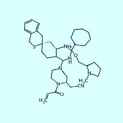 C=CC(=O)N1CCN(C2NC(OCC3CCCN3C)(C3CCCCCC3)NC3C[C@@]4(CCC32)Cc2ccccc2CS4)CC1CC#N